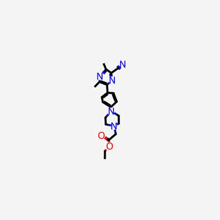 CCOC(=O)CN1CCN(c2ccc(-c3nc(C#N)c(C)nc3C)cc2)CC1